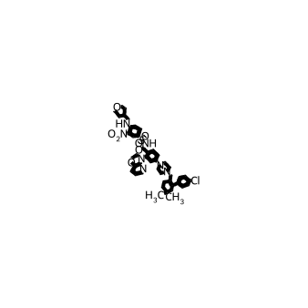 CC1(C)CCC(CN2CCN(c3ccc(C(=O)NS(=O)(=O)c4ccc(NCC5CCOCC5)c([N+](=O)[O-])c4)c(N4CCOc5cccnc54)c3)CC2)=C(c2ccc(Cl)cc2)C1